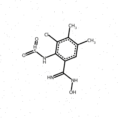 Cc1cc(C(=N)NO)c(N[SH](=O)=O)c(Cl)c1C